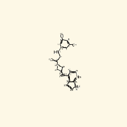 O=C(CNc1cc(Cl)cc(Cl)c1)N1CC(Nc2ncnc3[nH]ccc23)C1